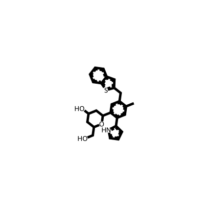 Cc1cc(-c2ccc[nH]2)c(C2CC(O)CC(CO)O2)cc1Cc1cc2ccccc2s1